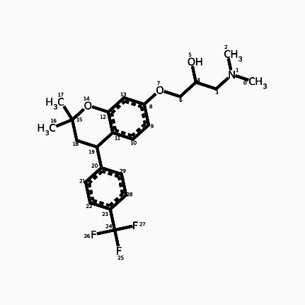 CN(C)CC(O)COc1ccc2c(c1)OC(C)(C)CC2c1ccc(C(F)(F)F)cc1